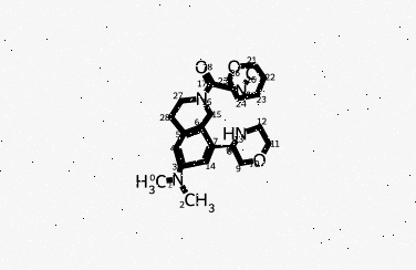 CN(C)c1cc2c(c([C@@H]3COCCN3)c1)CN(C(=O)N1CC3CCC1CO3)CC2